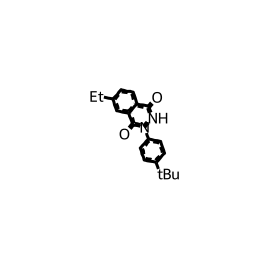 CCc1ccc2c(=O)[nH]n(-c3ccc(C(C)(C)C)cc3)c(=O)c2c1